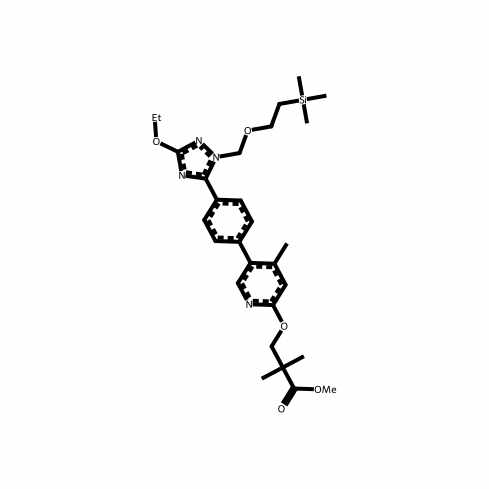 CCOc1nc(-c2ccc(-c3cnc(OCC(C)(C)C(=O)OC)cc3C)cc2)n(COCC[Si](C)(C)C)n1